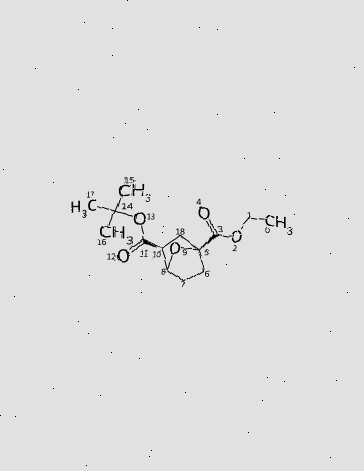 CCOC(=O)[C@@]12CCC(O1)[C@@H](C(=O)OC(C)(C)C)C2